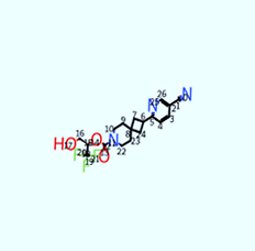 N#Cc1ccc(C2CC3(CCN(C(=O)O[C@H](CO)C(F)(F)F)CC3)C2)nc1